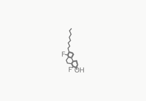 CCCCCCCCc1ccc2c(c1F)CCc1c-2ccc(O)c1F